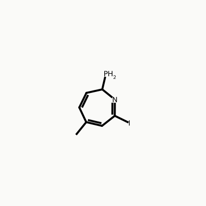 CC1=CC(I)=NC(P)C=C1